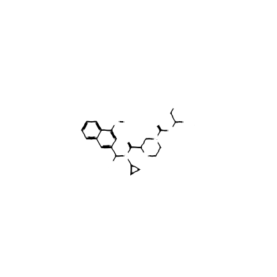 CCC(C)OC(=O)N1CCOC(C(=O)N(C2CC2)C(C)c2cc(OC)c3ccccc3c2)C1